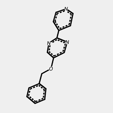 c1ccc(COc2cnc(-c3ccncc3)nc2)cc1